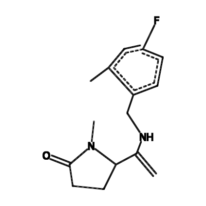 C=C(NCc1ccc(F)cc1C)C1CCC(=O)N1C